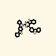 c1ccc2c(c1)oc1ccc(-c3nc(-n4c5ccccc5c5cc6c(cc54)sc4ccccc46)nc4sc5ccccc5c34)cc12